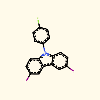 Fc1ccc(-n2c3ccc(I)cc3c3cc(I)ccc32)cc1